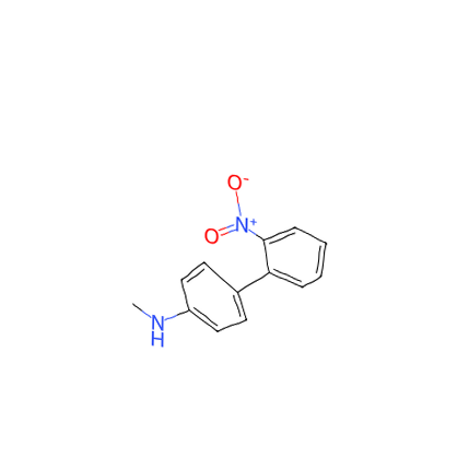 CNc1ccc(-c2ccccc2[N+](=O)[O-])cc1